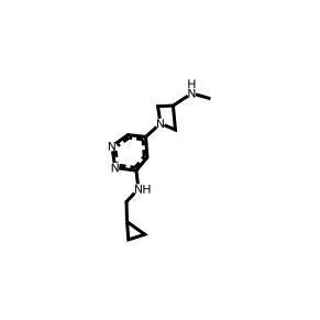 CNC1CN(c2cnnc(NCC3CC3)c2)C1